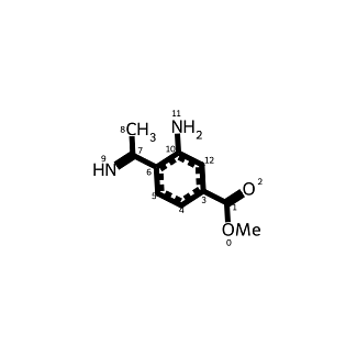 COC(=O)c1ccc(C(C)=N)c(N)c1